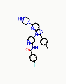 Cc1ccc(-c2nc3ccc(N4CCNCC4)nc3n2-c2ccnc(NC(=O)c3ccc(F)cc3)c2)cc1